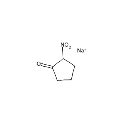 O=C1CCCC1[N+](=O)[O-].[Na+]